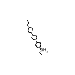 CCC[C@H]1CC[C@H]([C@H]2CC[C@H](c3ccc([SiH2]CC)cc3)CC2)CC1